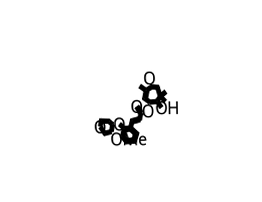 COC1COCCC1Oc1ccccc1C=CC(=O)OC1C=C(C)C(=O)CC(C)(C)C1O